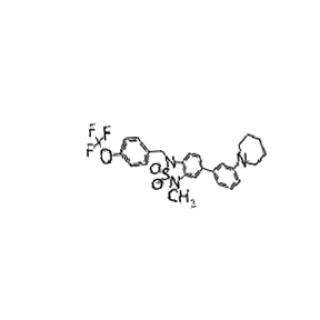 CN1c2cc(-c3cccc(N4CCCCC4)c3)ccc2N(Cc2ccc(OC(F)(F)F)cc2)S1(=O)=O